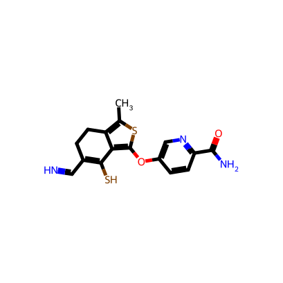 Cc1sc(Oc2ccc(C(N)=O)nc2)c2c1CCC(C=N)=C2S